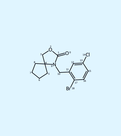 O=C1OCC2(CCCC2)N1Cc1cc(Cl)ccc1Br